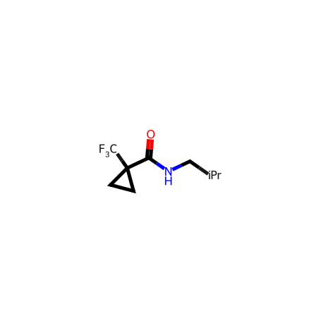 CC(C)CNC(=O)C1(C(F)(F)F)CC1